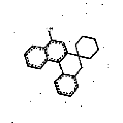 Oc1cc2c(c3ccccc13)-c1ccccc1CC21CCCCC1